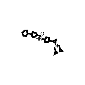 O=C(Nc1ccc(C2CC2N(CC2CC2)CC2CC2)cc1)c1ccc(-c2ccccc2)cc1